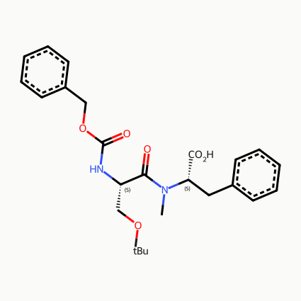 CN(C(=O)[C@H](COC(C)(C)C)NC(=O)OCc1ccccc1)[C@@H](Cc1ccccc1)C(=O)O